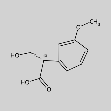 COc1cccc([C@@H](CO)C(=O)O)c1